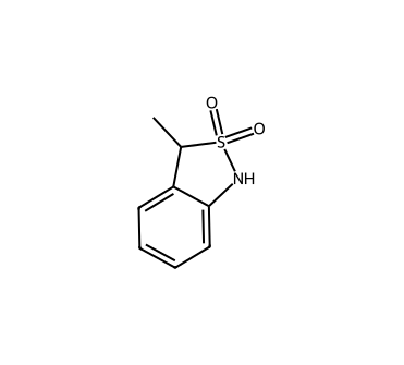 CC1c2ccccc2NS1(=O)=O